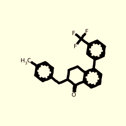 Cc1ccc(CC2CCc3c(cccc3-c3cccc(C(F)(F)F)c3)C2=O)cc1